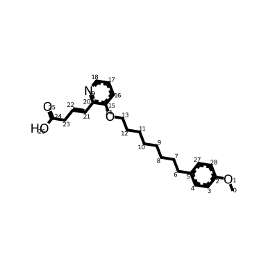 COc1ccc(CCCCCCCCOc2cccnc2C=CCC(=O)O)cc1